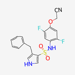 N#CCOc1cc(F)c(NS(=O)(=O)c2c[nH]cc2Cc2ccccc2)cc1F